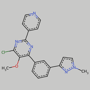 COc1c(Cl)nc(-c2ccncc2)nc1-c1cccc(-c2ccn(C)n2)c1